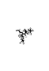 CC=CCC(C(=O)OCC(C)(C)C)C(C)C(=O)OCC(C)(C)C